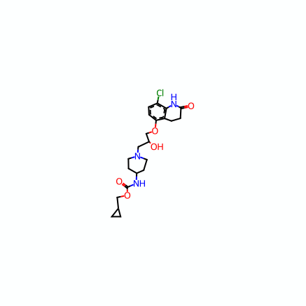 O=C1CCc2c(OCC(O)CN3CCC(NC(=O)OCC4CC4)CC3)ccc(Cl)c2N1